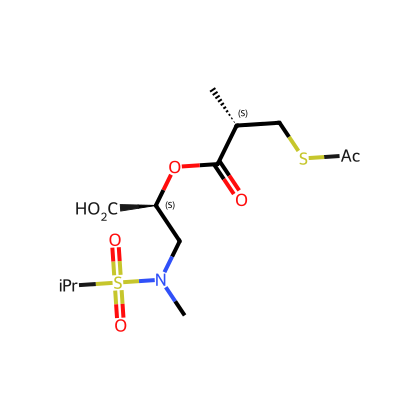 CC(=O)SC[C@@H](C)C(=O)O[C@@H](CN(C)S(=O)(=O)C(C)C)C(=O)O